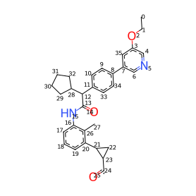 CCOc1cncc(-c2ccc(C(C(=O)Nc3cccc(C4CC4[C]=O)c3C)C3CCCC3)cc2)c1